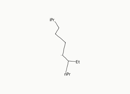 CCCC([CH]CCCC(C)C)CC